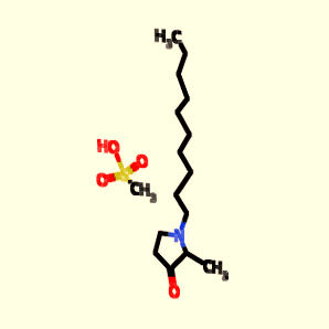 CCCCCCCCCCN1CCC(=O)C1C.CS(=O)(=O)O